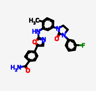 Cc1ccc(N2CCN(c3cccc(F)c3)C2=O)cc1Nc1ncc(-c2ccc(C(N)=O)cc2)o1